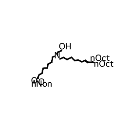 CCCCCCCCCOC(=O)CCCCCCCN(CCO)CCCCCCCC=CC(CCCCCCCC)CCCCCCCC